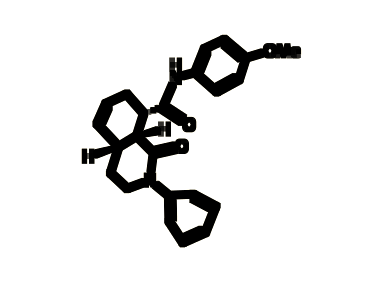 COc1ccc(NC(=O)[C@H]2CC=C[C@H]3CCN(c4ccccc4)C(=O)[C@@H]23)cc1